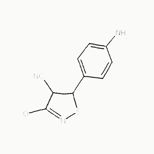 N#CC1C(Cl)=NSC1c1ccc(N)cc1